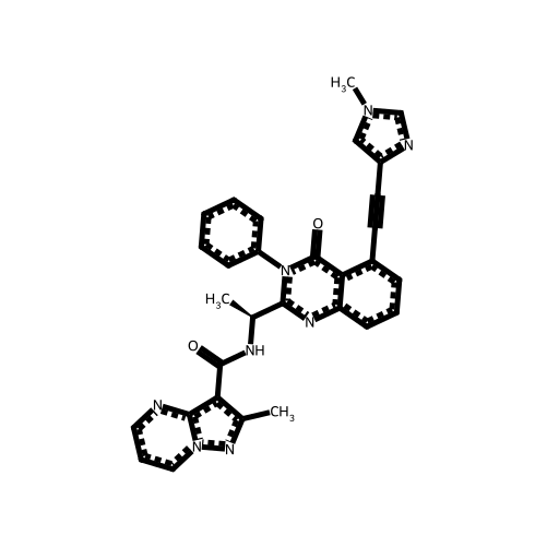 Cc1nn2cccnc2c1C(=O)N[C@@H](C)c1nc2cccc(C#Cc3cn(C)cn3)c2c(=O)n1-c1ccccc1